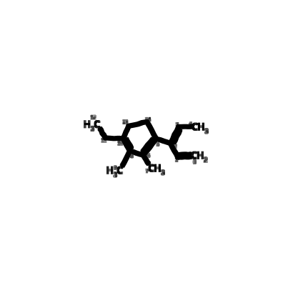 C=C/C(=C\C)C1=C(C)C(C)=C(CC)CC1